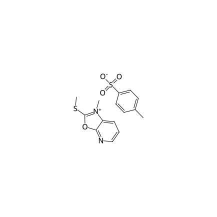 CSc1oc2ncccc2[n+]1C.Cc1ccc(S(=O)(=O)[O-])cc1